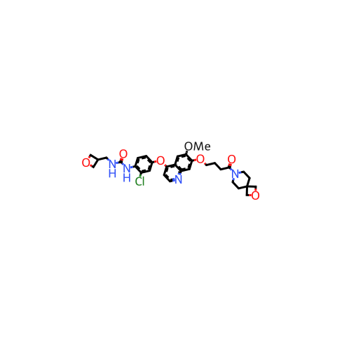 COc1cc2c(Oc3ccc(NC(=O)NCC4COC4)c(Cl)c3)ccnc2cc1OCCCC(=O)N1CCC2(CC1)COC2